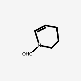 O=CN1C=CCCC1